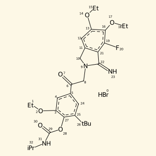 Br.CCOc1cc(C(=O)CN2Cc3cc(OCC)c(OCC)c(F)c3C2=N)cc(C(C)(C)C)c1OC(=O)NC(C)C